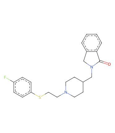 O=C1c2ccccc2CN1CC1CCN(CCSc2ccc(F)cc2)CC1